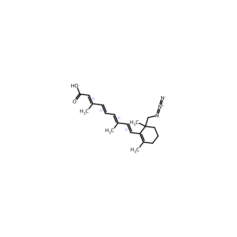 CC1=C(/C=C/C(C)=C/C=C/C(C)=C/C(=O)O)C(C)(CN=[N+]=[N-])CCC1